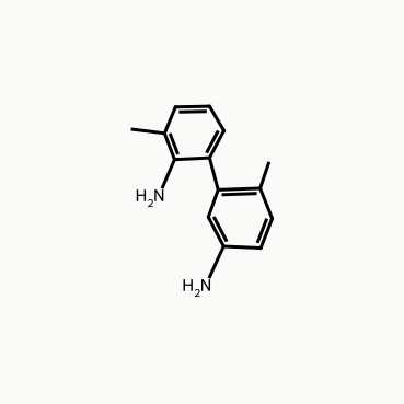 Cc1ccc(N)cc1-c1cccc(C)c1N